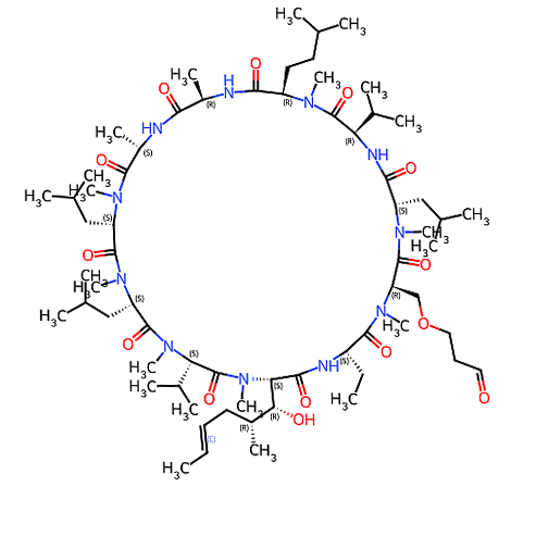 C/C=C/C[C@@H](C)[C@@H](O)[C@H]1C(=O)N[C@@H](CC)C(=O)N(C)[C@H](COCCC=O)C(=O)N(C)[C@@H](CC(C)C)C(=O)N[C@H](C(C)C)C(=O)N(C)[C@H](CCC(C)C)C(=O)N[C@H](C)C(=O)N[C@@H](C)C(=O)N(C)[C@@H](CC(C)C)C(=O)N(C)[C@@H](CC(C)C)C(=O)N(C)[C@@H](C(C)C)C(=O)N1C